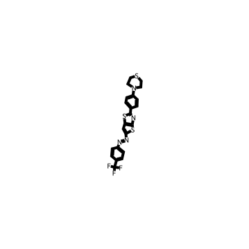 FC(F)(F)c1ccc(N=Nc2cc3sc(-c4ccc(N5CCSCC5)cc4)nc3s2)cc1